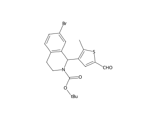 Cc1sc(C=O)cc1C1c2cc(Br)ccc2CCN1C(=O)OC(C)(C)C